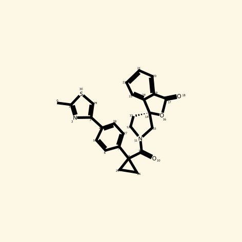 Cc1nc(-c2ccc(C3(C(=O)N4CC[C@@]5(C4)OC(=O)c4ccccc45)CC3)cc2)cs1